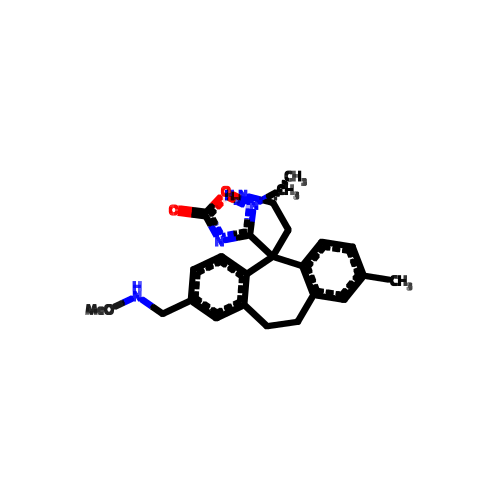 CONCc1ccc2c(c1)CCc1cc(C)ccc1C2(C[C@@H](C)N)c1nc(=O)on1C